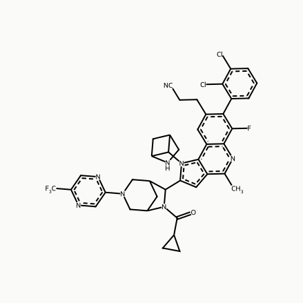 Cc1nc2c(F)c(-c3cccc(Cl)c3Cl)c(CCC#N)cc2c2c1cc(C1C3CC(CN(c4cnc(C(F)(F)F)cn4)C3)N1C(=O)C1CC1)n2C1C2CNC1C2